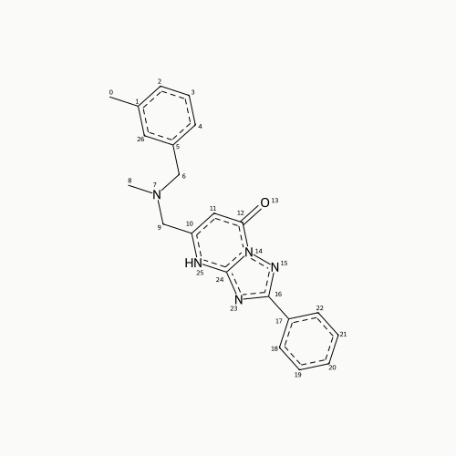 Cc1cccc(CN(C)Cc2cc(=O)n3nc(-c4ccccc4)nc3[nH]2)c1